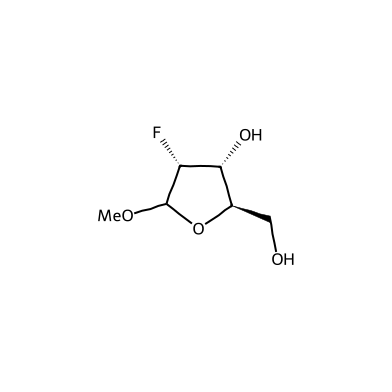 COC1O[C@H](CO)[C@@H](O)[C@H]1F